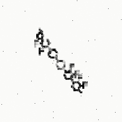 CCOc1ccc(C2=CCC(C3CCC(c4ccc(-c5ccc(C)c(F)c5F)c(F)c4F)CC3)CC2)c(F)c1F